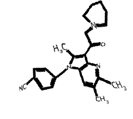 Cc1cc2c(nc1C)c(C(=O)CN1CCCCC1)c(C)n2-c1ccc(C#N)cc1